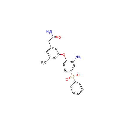 NC(=O)Cc1cc(Oc2ccc(S(=O)(=O)c3ccccc3)cc2N)cc(C(F)(F)F)c1